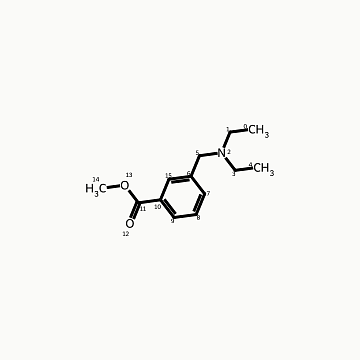 CCN(CC)Cc1cccc(C(=O)OC)c1